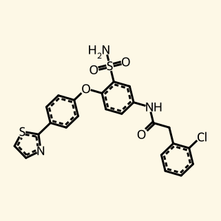 NS(=O)(=O)c1cc(NC(=O)Cc2ccccc2Cl)ccc1Oc1ccc(-c2nccs2)cc1